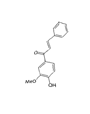 COc1cc(C(=O)/C=C/c2ccccc2)ccc1O